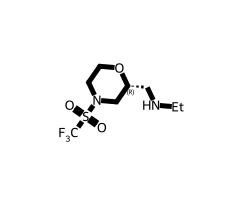 CCNC[C@@H]1CN(S(=O)(=O)C(F)(F)F)CCO1